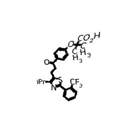 CC(C)c1nc(-c2ccccc2C(F)(F)F)sc1CCC(=O)c1ccc(OC(C)(C)C(=O)O)cc1